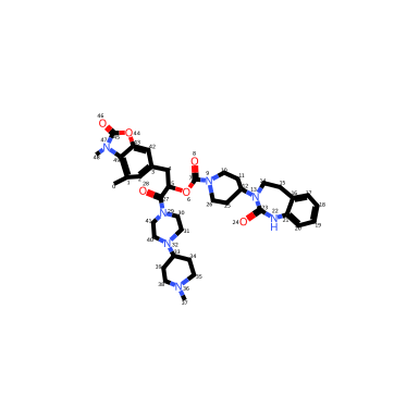 Cc1cc(CC(OC(=O)N2CCC(N3CCc4ccccc4NC3=O)CC2)C(=O)N2CCN(C3CCN(C)CC3)CC2)cc2oc(=O)n(C)c12